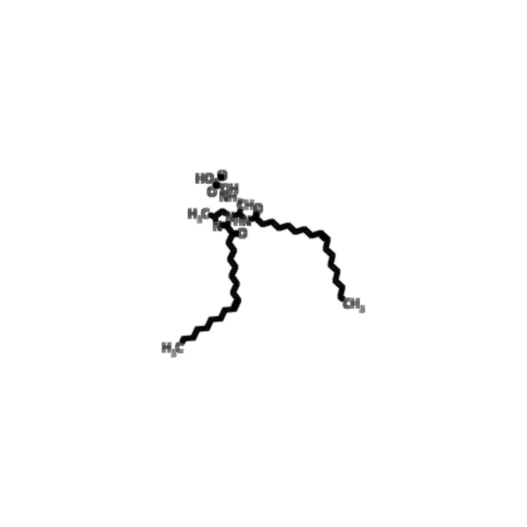 CCCCCCCC/C=C\CCCCCCCC(=O)NC(C)N1CC(C)N=C1C(=O)CCCCCCC/C=C\CCCCCCCC.N.O=S(=O)(O)O